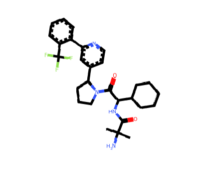 CC(C)(N)C(=O)NC(C(=O)N1CCCC1c1ccnc(-c2ccccc2C(F)(F)F)c1)C1CCCCC1